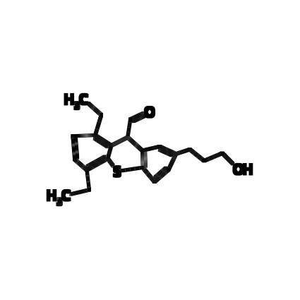 CCc1ccc(CC)c2c1Sc1ccc(CCCO)cc1C2C=O